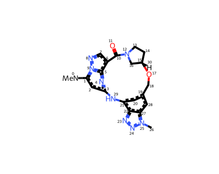 CNc1cc2nc3c(cnn13)C(=O)N1CC[C@@H](C1)OCc1cc(c3nnn(C)c3c1)N2